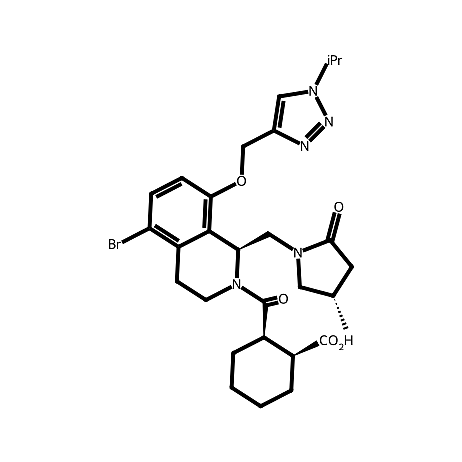 CC(C)n1cc(COc2ccc(Br)c3c2[C@@H](CN2C[C@@H](C)CC2=O)N(C(=O)[C@@H]2CCCC[C@@H]2C(=O)O)CC3)nn1